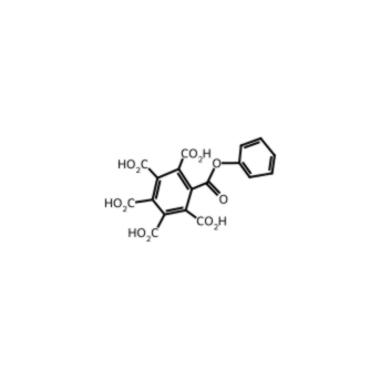 O=C(O)c1c(C(=O)O)c(C(=O)O)c(C(=O)Oc2ccccc2)c(C(=O)O)c1C(=O)O